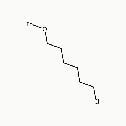 CCOCCCCCCCl